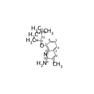 Cc1cc2cccc(OC(C)CC(C)(C)C)c2nc1N